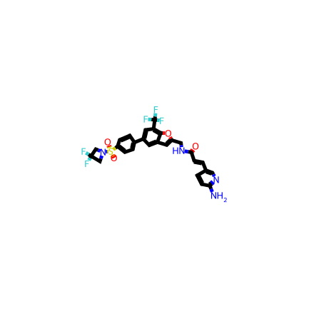 Nc1ccc(C=CC(=O)NCc2cc3cc(-c4ccc(S(=O)(=O)N5CC(F)(F)C5)cc4)cc(C(F)(F)F)c3o2)cn1